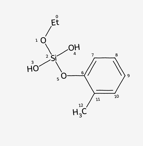 CCO[Si](O)(O)Oc1ccccc1C